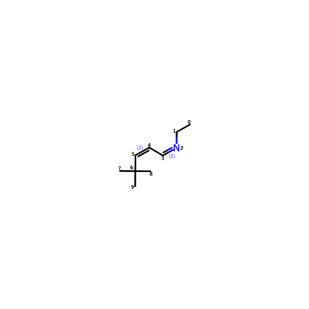 CC/N=C\C=C/C(C)(C)C